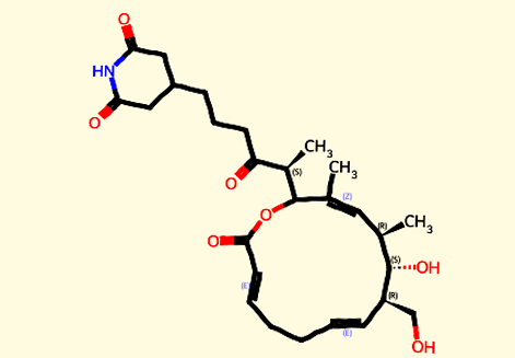 C/C1=C/[C@@H](C)[C@H](O)[C@@H](CO)/C=C/CC/C=C/C(=O)OC1[C@H](C)C(=O)CCCC1CC(=O)NC(=O)C1